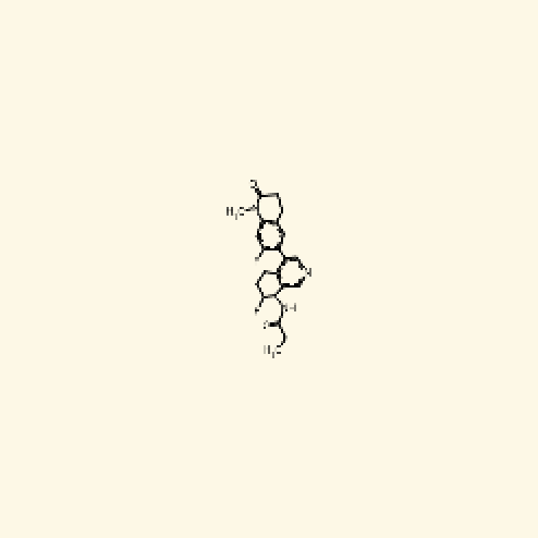 CCC(=O)N[C@@H]1c2cncc(-c3cc4c(cc3F)N(C)C(=O)CC4)c2CCC1F